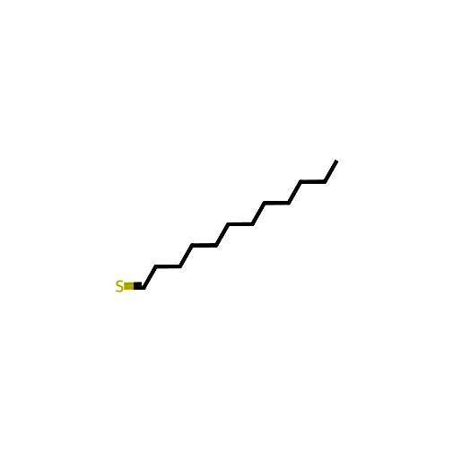 CCCCCCCCCCCC=S